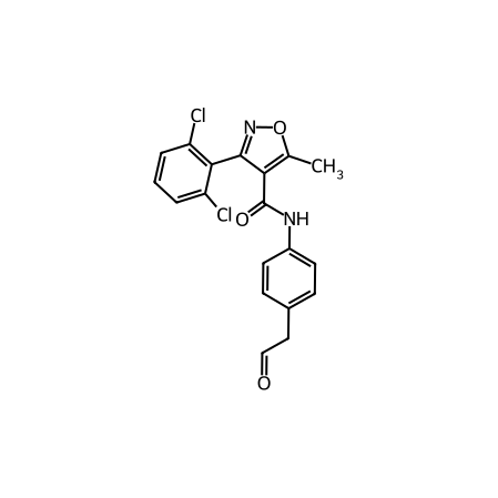 Cc1onc(-c2c(Cl)cccc2Cl)c1C(=O)Nc1ccc(CC=O)cc1